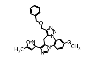 COc1ccc2c(c1)-n1nnc(COCc3ccccc3)c1Cc1c(-c3cc(C)on3)ncn1-2